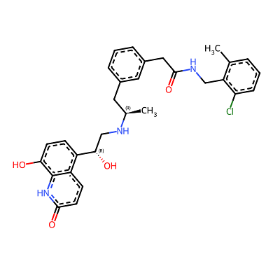 Cc1cccc(Cl)c1CNC(=O)Cc1cccc(C[C@@H](C)NC[C@H](O)c2ccc(O)c3[nH]c(=O)ccc23)c1